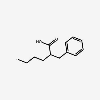 [CH2]CCCC(Cc1ccccc1)C(=O)O